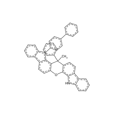 CC1(c2ccccc2)c2ccc3c([nH]c4ccccc43)c2Oc2ccc3c4ccccc4n(-c4ccc(-c5ccccc5)cc4)c3c21